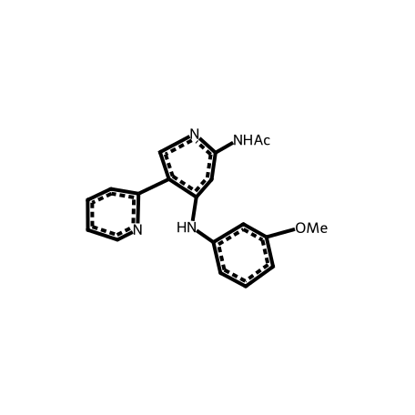 COc1cccc(Nc2cc(NC(C)=O)ncc2-c2ccccn2)c1